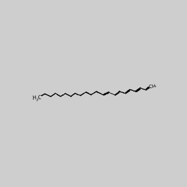 [CH]=CC=CC=CC=CC=CCCCCCCCCCCCC